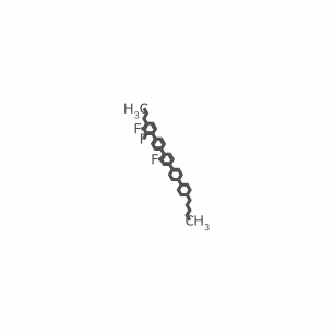 CCCCCC1CCC(C2CC=C(c3ccc(-c4ccc(-c5ccc(CCC)c(F)c5F)cc4)c(F)c3)CC2)CC1